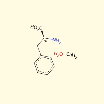 N[C@@H](Cc1ccccc1)C(=O)O.O.[CaH2]